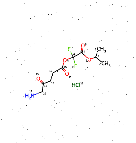 CC(C)OC(=O)C(F)(F)OC(=O)CCC(=O)CN.Cl